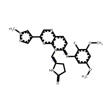 COc1cc(/N=c2\ccc3ncc(-c4cnn(C)c4)nc3n2/C=C2\CCC(=O)N2)c(F)c(OC)c1